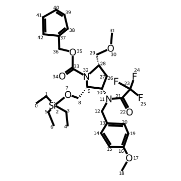 CC[Si](CC)(CC)OC[C@H]1[C@@H](N(Cc2ccc(OC)cc2)C(=O)C(F)(F)F)C[C@@H](COC)N1C(=O)OCc1ccccc1